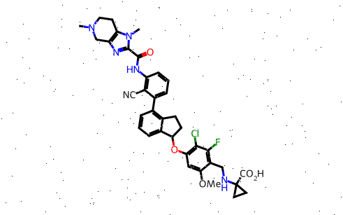 COc1cc(OC2CCc3c(-c4cccc(NC(=O)c5nc6c(n5C)CCN(C)C6)c4C#N)cccc32)c(Cl)c(F)c1CNC1(C(=O)O)CC1